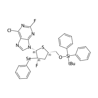 CC(C)(C)[Si](OC[C@@H]1C[C@@](F)([Se]c2ccccc2)[C@H](n2cnc3c(Cl)nc(F)nc32)S1)(c1ccccc1)c1ccccc1